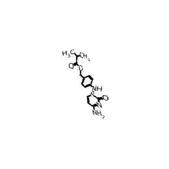 CC(C)C(=O)OCc1ccc(Nn2ccc(N)nc2=O)cc1